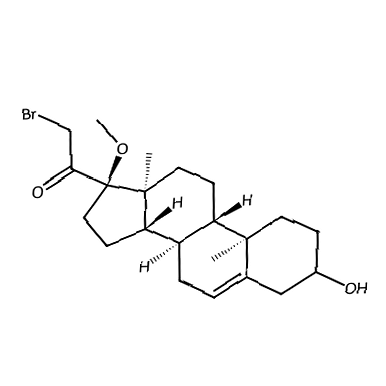 CO[C@]1(C(=O)CBr)CC[C@H]2[C@@H]3CC=C4CC(O)CC[C@]4(C)[C@H]3CC[C@@]21C